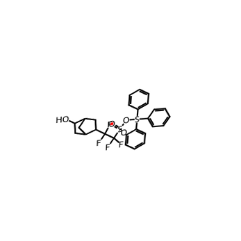 O=S(=O)(OS(c1ccccc1)(c1ccccc1)c1ccccc1)C(F)(F)C(F)(F)C1CC2CC1CC2O